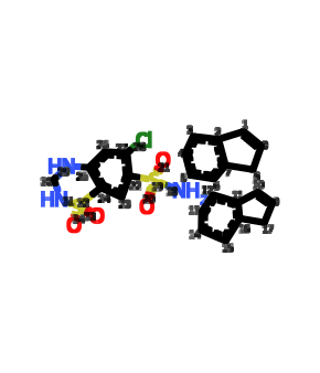 C1=Cc2ccccc2C1.C1=Cc2ccccc2C1.NS(=O)(=O)c1cc2c(cc1Cl)NCNS2(=O)=O